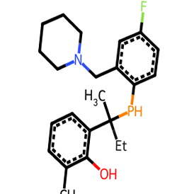 CCC(C)(Pc1ccc(F)cc1CN1CCCCC1)c1cccc(C)c1O